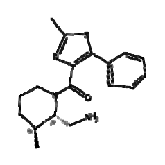 Cc1nc(C(=O)N2CCC[C@H](C)[C@H]2CN)c(-c2ccccc2)s1